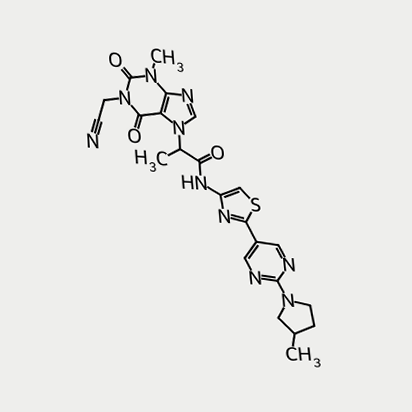 CC1CCN(c2ncc(-c3nc(NC(=O)C(C)n4cnc5c4c(=O)n(CC#N)c(=O)n5C)cs3)cn2)C1